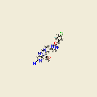 N#Cc1cc2nc(CN3CCC(c4ccnc(OCc5ccc(Cl)cc5F)n4)CC3)n(CC3CCO3)c2cn1